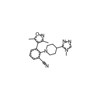 Cc1noc(C)c1-c1cccc(C#N)c1N1CCC(c2nncn2C)CC1